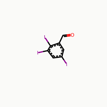 O=Cc1cc(I)cc(I)c1I